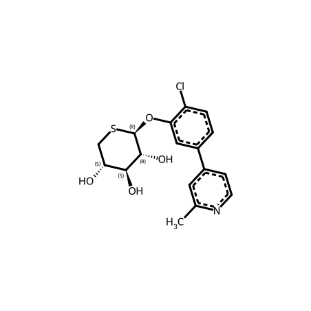 Cc1cc(-c2ccc(Cl)c(O[C@@H]3SC[C@@H](O)[C@H](O)[C@H]3O)c2)ccn1